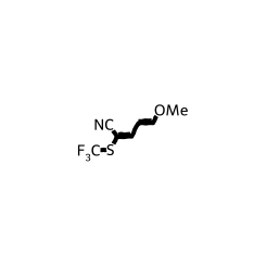 CO/C=C/C=C(\C#N)SC(F)(F)F